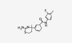 Cc1ccc(NC(=O)C2C=C(C3(C)CCSC(N)=N3)C=CC2)cc1F